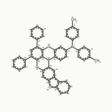 Cc1ccc(N(c2ccc(C)cc2)c2ccc3c(c2)Oc2c(-c4ccccc4)cc(-c4ccccc4)c4c2B3c2cc3c(cc2O4)oc2ccccc23)cc1